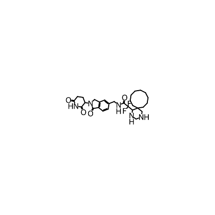 O=C1CCC(N2Cc3cc(CNC(=O)C(F)(F)C4NCNCC45CCCCCCCCC5)ccc3C2=O)C(=O)N1